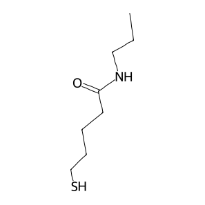 CCCNC(=O)CCCCS